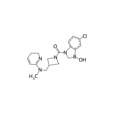 CN(CC1CN(C(=O)N2CB(O)c3cc(Cl)ccc32)C1)C1=NCCC=C1